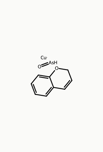 C1=Cc2ccccc2OC1.O=[AsH].[Cu]